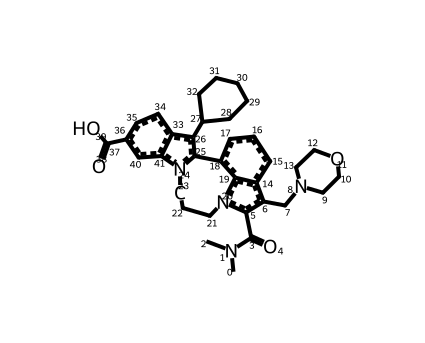 CN(C)C(=O)c1c(CN2CCOCC2)c2cccc3c2n1CCCn1c-3c(C2CCCCC2)c2ccc(C(=O)O)cc21